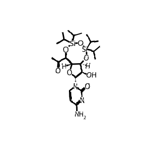 CC(=O)C1O[Si](C(C)C)(C(C)C)O[Si](C(C)C)(C(C)C)O[C@H]2[C@@H](O)[C@H](n3ccc(N)nc3=O)O[C@H]12